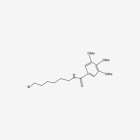 COc1cc(C(=O)NCCCCCCBr)cc(OC)c1OC